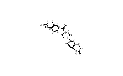 O=C1CCc2cc(C(=O)N3CCN(c4ccc5c(c4)CCC(=O)N5)CC3)ccc2N1